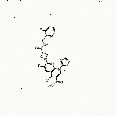 O=C(O)c1cn(-c2ncns2)c2nc(N3CC(C(=O)NCc4ncccc4F)C3)c(F)cc2c1=O